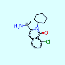 C[C@H](N)c1cc2cccc(Cl)c2c(=O)n1C1CCCCC1